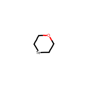 C1C[Te]CCO1